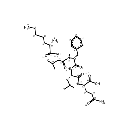 CC(C)C[C@H](NC(=O)[C@H](Cc1ccccc1)NC(=O)[C@@H](NC(=O)[C@@H](N)CCCCN)C(C)C)C(=O)N[C@@H](CCC(N)=O)C(=O)O